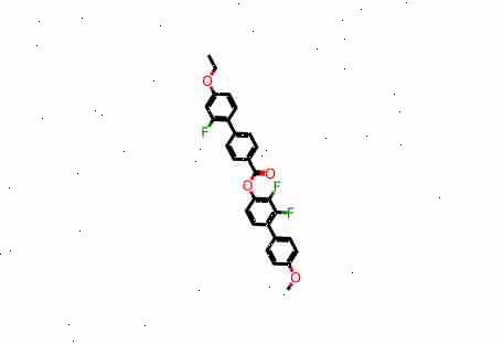 CCOc1ccc(-c2ccc(C(=O)Oc3ccc(-c4ccc(OC)cc4)c(F)c3F)cc2)c(F)c1